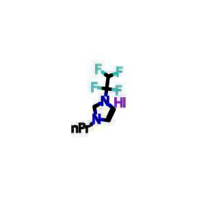 CCCN1C=CN(C(F)(F)C(F)F)C1.I